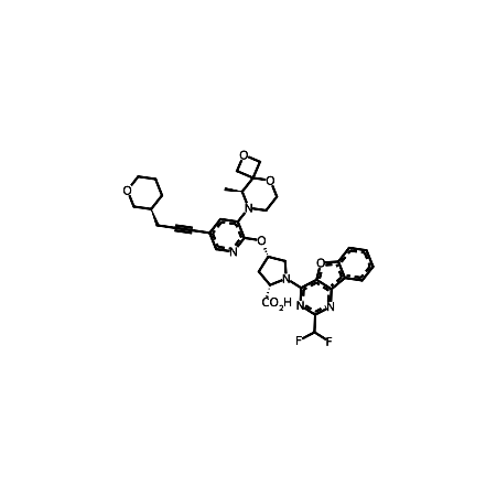 C[C@@H]1N(c2cc(C#CC[C@@H]3CCCOC3)cnc2O[C@H]2C[C@@H](C(=O)O)N(c3nc(C(F)F)nc4c3oc3ccccc34)C2)CCOC12COC2